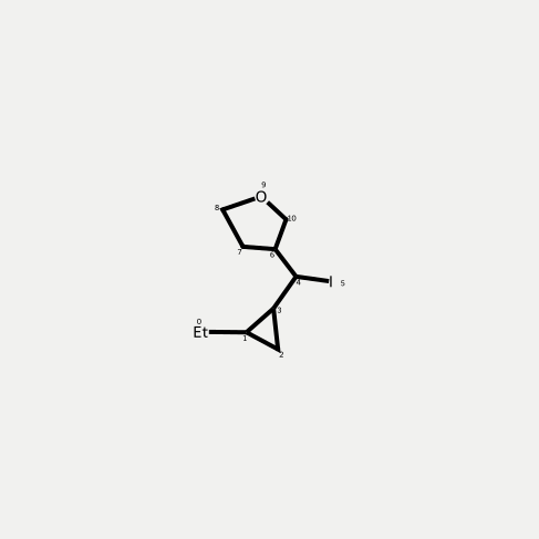 CCC1CC1C(I)C1CCOC1